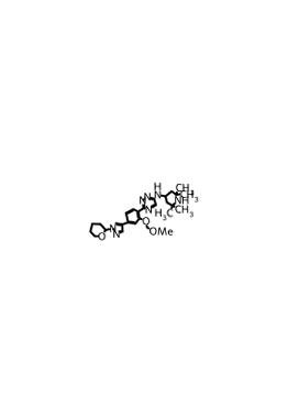 COCOc1cc(-c2cnn(C3CCCCO3)c2)ccc1-c1ncc(NC2CC(C)(C)NC(C)(C)C2)nn1